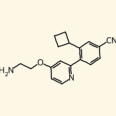 N#Cc1ccc(-c2cc(OCCN)ccn2)c(C2CCC2)c1